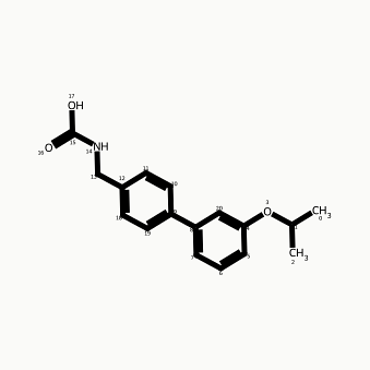 CC(C)Oc1cccc(-c2ccc(CNC(=O)O)cc2)c1